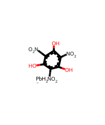 O=[N+]([O-])c1c(O)c([N+](=O)[O-])c(O)c([N+](=O)[O-])c1O.[PbH2]